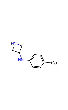 CC(C)(C)c1ccc(NC2CNC2)cc1